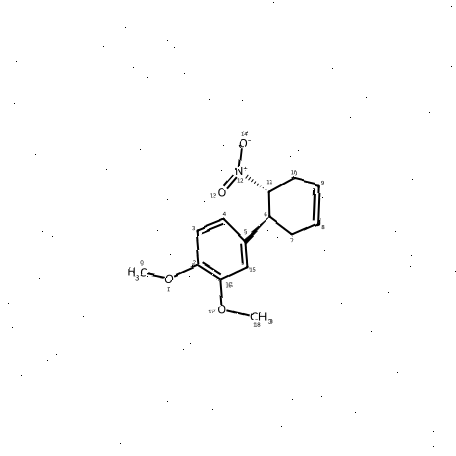 COc1ccc([C@@H]2CC=CC[C@H]2[N+](=O)[O-])cc1OC